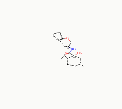 CC1CCC(C(C)C)[C@@](O)(C(=O)N[C@@H]2COc3ccccc3C2)C1